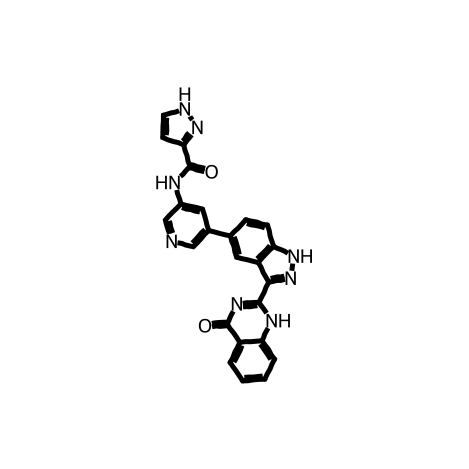 O=C(Nc1cncc(-c2ccc3[nH]nc(-c4nc(=O)c5ccccc5[nH]4)c3c2)c1)c1cc[nH]n1